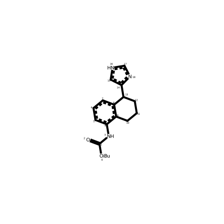 CC(C)COC(=O)Nc1cccc2c1CCCC2c1c[nH]cn1